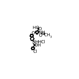 CCOC(=O)Nc1ccc(Oc2ccc3c(c2)C[C@@H](NC[C@@H](O)c2cccc(Cl)c2)CC3)cc1C(=O)O.Cl